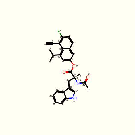 C#Cc1c(F)ccc2cc(OC(=O)[C@@](C)(Cc3c[nH]c4ccccc34)NC(C)=O)cc(C(C)C)c12